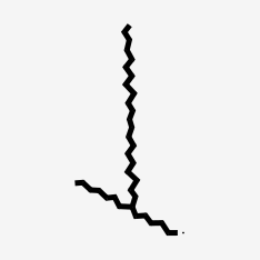 [CH2]CCCCCC(CCCCCCC)CCCCCCCCCCCCCCCCCCCCC